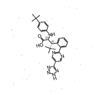 CC(C)(C)c1ccc(N[C@H](C(=O)O)[C@H](c2ccccc2-c2ncc(-c3nn[nH]n3)cn2)C(C)(C)C)cc1